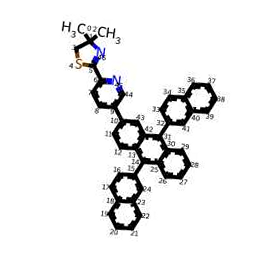 CC1(C)CSC(c2ccc(-c3ccc4c(-c5ccc6ccccc6c5)c5ccccc5c(-c5ccc6ccccc6c5)c4c3)cn2)=N1